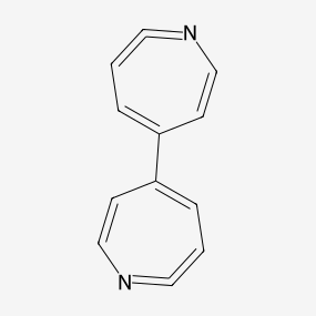 C1=CC=C(C2=CC=C=NC=C2)C=CN=1